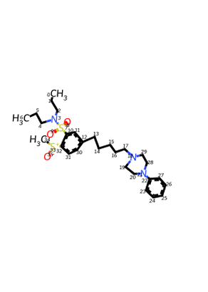 CCCN(CCC)S(=O)(=O)c1cc(CCCCCN2CCN(c3ccccc3)CC2)ccc1[S+](C)[O-]